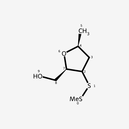 CSSC1C[C@H](C)O[C@@H]1CO